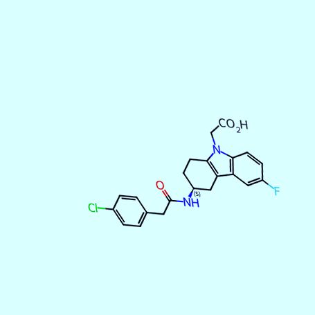 O=C(O)Cn1c2c(c3cc(F)ccc31)C[C@@H](NC(=O)Cc1ccc(Cl)cc1)CC2